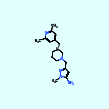 Cc1cc(C[C@H]2CCCN(Cc3cc(N)n(C)n3)C2)cc(C)n1